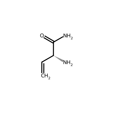 C=C[C@@H](N)C(N)=O